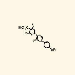 CCCc1ccc(-c2ccc(-c3cc(F)c(C(=O)O)c(F)c3)c(F)c2)cc1